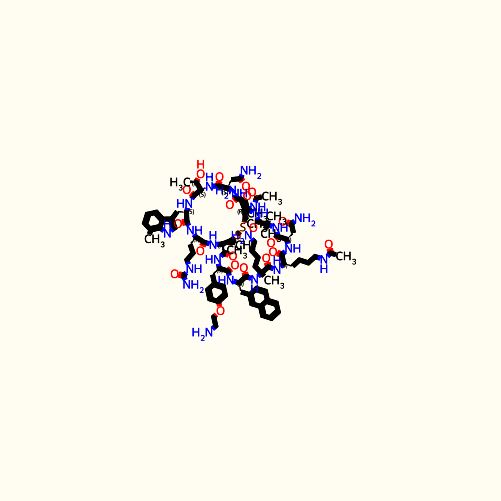 CC(=O)NCCCC[C@H](NC(=O)C(C)(CCCCN)NC(=O)[C@H](Cc1ccc2ccccc2c1)NC(=O)[C@H](Cc1ccc(OCCN)cc1)NC(=O)[C@H]1NC(=O)[C@H](CCCNC(N)=O)NC(=O)[C@H](Cc2c[nH]c3c(C)cccc23)NC(=O)[C@H]([C@@H](C)O)NC(=O)[C@H](CC(N)=O)NC(=O)[C@@H](NC(C)=O)C(C)(C)SSC1(C)C)C(=O)N[C@@H](CC(N)=O)C(=O)NC(C)(C)C(=O)NCCC(N)=O